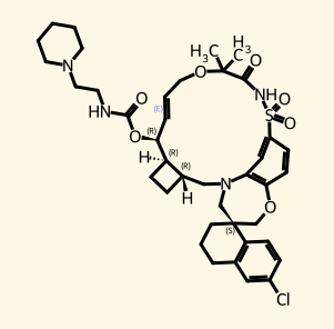 CC1(C)OC/C=C/[C@H](OC(=O)NCCN2CCCCC2)[C@@H]2CC[C@H]2CN2C[C@@]3(CCCc4cc(Cl)ccc43)COc3ccc(cc32)S(=O)(=O)NC1=O